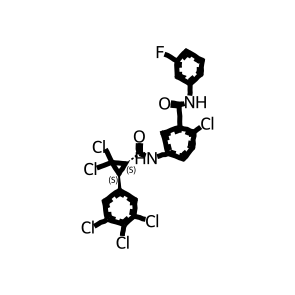 O=C(Nc1cccc(F)c1)c1cc(NC(=O)[C@@H]2[C@@H](c3cc(Cl)c(Cl)c(Cl)c3)C2(Cl)Cl)ccc1Cl